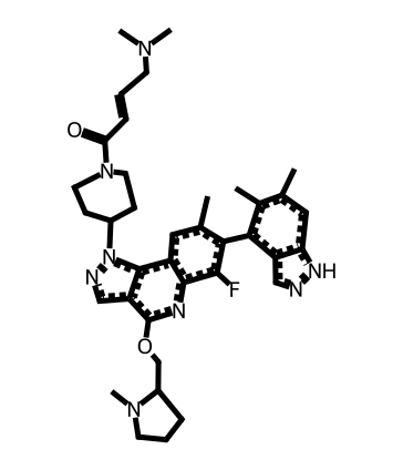 Cc1cc2[nH]ncc2c(-c2c(C)cc3c(nc(OCC4CCCN4C)c4cnn(C5CCN(C(=O)/C=C/CN(C)C)CC5)c43)c2F)c1C